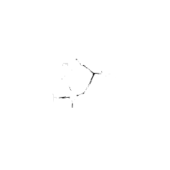 NC(N)CS(F)(F)F